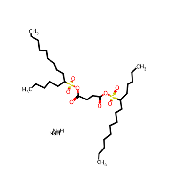 CCCCCCCCCC(CCCCC)S(=O)(=O)OC(=O)CCC(=O)OS(=O)(=O)C(CCCCC)CCCCCCCCC.[NaH].[NaH]